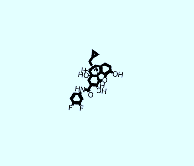 O=C(Nc1ccc(F)c(F)c1)C1=C(O)[C@@H]2Oc3c(O)ccc4c3[C@@]23CCN(CC2CC2)[C@H](C4)[C@]3(O)C1